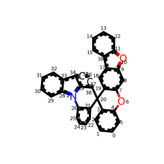 c1ccc2c(c1)Oc1cc3oc4ccccc4c3cc1C21c2ccccc2-n2c3ccccc3c3cccc1c32